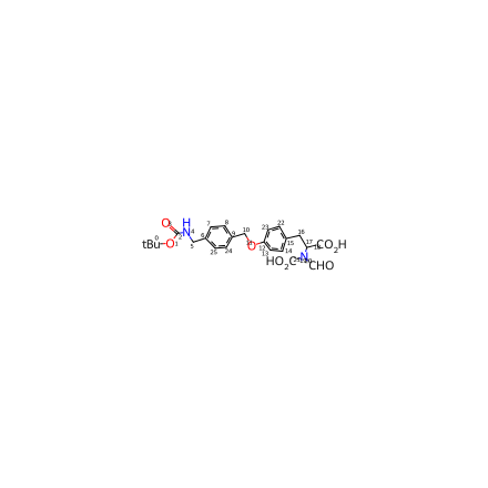 CC(C)(C)OC(=O)NCc1ccc(COc2ccc(CC(C(=O)O)N(C=O)C(=O)O)cc2)cc1